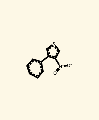 O=[N+]([O-])c1[c]scc1-c1ccccc1